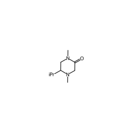 CC(C)C1CN(C)C(=O)CN1C